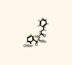 COc1ccccc1C(=O)N(NC(=O)CCc1ccccc1)C(C)(C)C